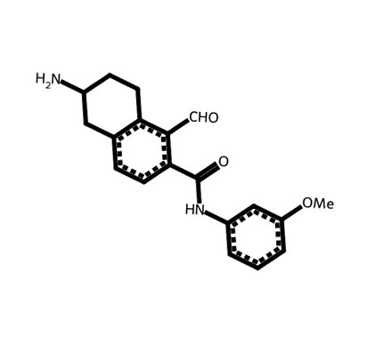 COc1cccc(NC(=O)c2ccc3c(c2C=O)CCC(N)C3)c1